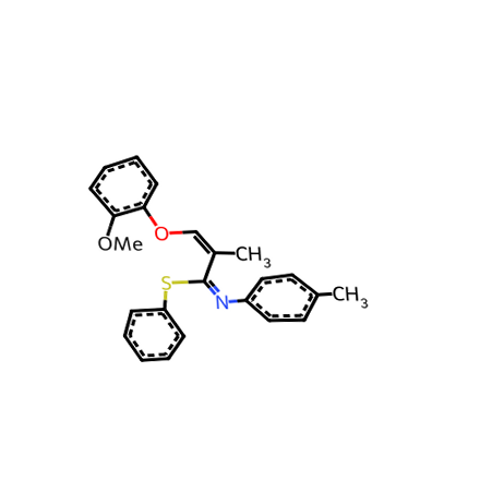 COc1ccccc1OC=C(C)C(=Nc1ccc(C)cc1)Sc1ccccc1